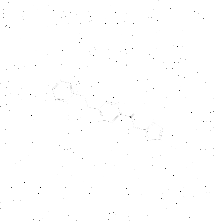 O=C(Nc1nccs1)c1ccc(COc2ccccc2)nc1